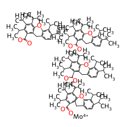 CC(C)c1ccc2c(c1C(C)C)Oc1c(c(C(=O)[O-])c(C(C)C)c(C(C)C)c1C(C)C)C2.CC(C)c1ccc2c(c1C(C)C)Oc1c(c(C(=O)[O-])c(C(C)C)c(C(C)C)c1C(C)C)C2.CC(C)c1ccc2c(c1C(C)C)Oc1c(c(C(=O)[O-])c(C(C)C)c(C(C)C)c1C(C)C)C2.CC(C)c1ccc2c(c1C(C)C)Oc1c(c(C(=O)[O-])c(C(C)C)c(C(C)C)c1C(C)C)C2.[Mo+4]